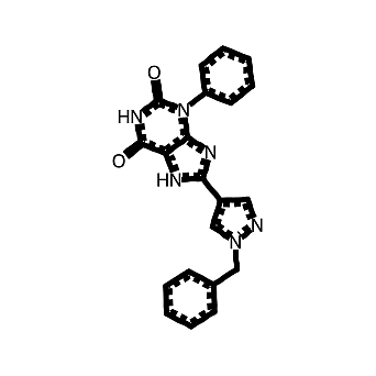 O=c1[nH]c(=O)n(-c2ccccc2)c2nc(-c3cnn(Cc4ccccc4)c3)[nH]c12